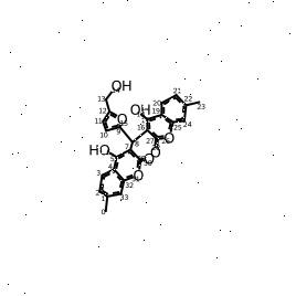 Cc1ccc2c(O)c(C(c3ccc(CO)o3)c3c(O)c4ccc(C)cc4oc3=O)c(=O)oc2c1